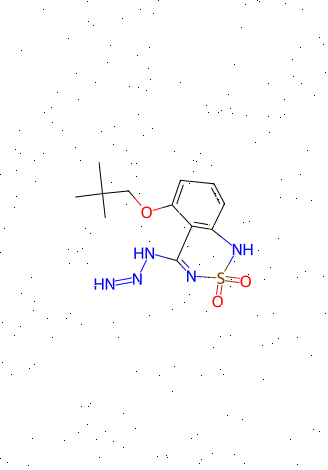 CC(C)(C)COc1cccc2c1C(NN=N)=NS(=O)(=O)N2